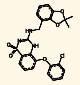 CC1(C)Oc2cccc(CNC3=NS(=O)(=O)c4cccc(Oc5ccccc5Cl)c4N3)c2O1